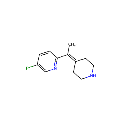 [CH2]C(=C1CCNCC1)c1ccc(F)cn1